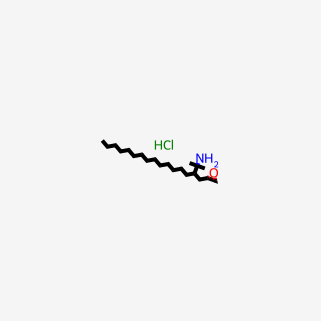 CCCCCCCCCCCCCCC(CC1CO1)C(C)(C)N.Cl